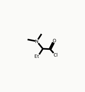 CCC(C(=O)Cl)N(C)C